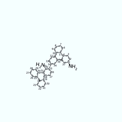 Nc1ccc2c3ccccc3c3ccc(-c4ccc5c6ccccc6c6ccccc6c5c4N)cc3c2c1